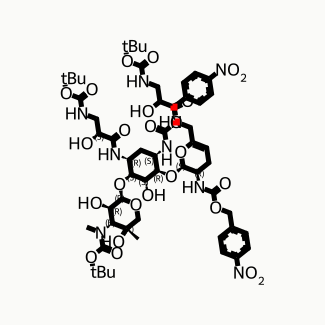 CN(C(=O)OC(C)(C)C)[C@@H]1[C@@H](O)[C@@H](O[C@@H]2[C@@H](O)[C@H](O[C@H]3OC(CNC(=O)C(O)CNC(=O)OC(C)(C)C)=CC[C@H]3NC(=O)OCc3ccc([N+](=O)[O-])cc3)[C@@H](NC(=O)OCc3ccc([N+](=O)[O-])cc3)C[C@H]2NC(=O)[C@@H](O)CNC(=O)OC(C)(C)C)OC[C@]1(C)O